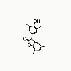 Cc1cc(C)c2c(c1)C(c1cc(C)c(O)c(C)c1)C(=O)O2